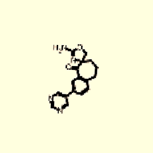 NC1=NC2(CCCc3ccc(-c4cncnc4)cc3C2=O)CO1